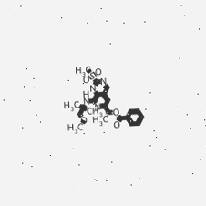 COCC(C)(C)Nc1nc([C@@H](C)OC(=O)c2ccccc2)cc2cnc(S(C)(=O)=O)nc12